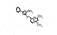 CC1=CC(C)N2C=CN(CSc3nc(-c4ccccc4)cn3N)C2=N1